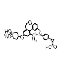 Cc1cc(OC2CCS(O)(O)CC2)cc2c1-c1cc(CNc3ccc([C@H]4C[C@@H]4C(=O)O)cc3)ccc1OCC2